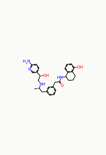 C[C@H](Cc1cccc(CC(=O)NC2CCCc3c(O)cccc32)c1)NC[C@H](O)c1ccc(N)nc1